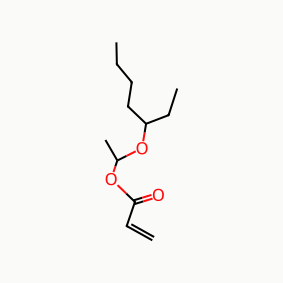 C=CC(=O)OC(C)OC(CC)CCCC